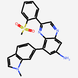 Cn1ccc2ccc(-c3cc(N)cc4ncc(-c5ccccc5S(C)(=O)=O)nc34)cc21